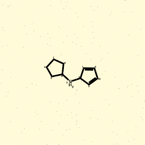 C1=CC([SiH2]C2CCCC2)C=C1